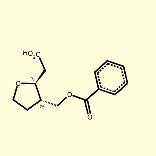 O=C(O)C[C@@H]1OCC[C@H]1COC(=O)c1ccccc1